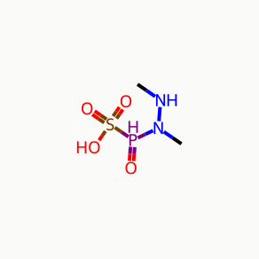 CNN(C)[PH](=O)S(=O)(=O)O